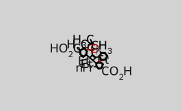 CCCc1cc(C(=O)O)cc(CC)c1C1(CC)C(c2ccccc2F)=C(C(=O)CC(C)=C(C)C)[C@@]1(CC)c1ccc(C(=O)O)cc1